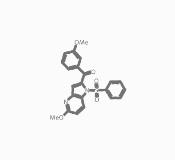 COc1cccc(C(=O)c2cc3nc(OC)ccc3n2S(=O)(=O)c2ccccc2)c1